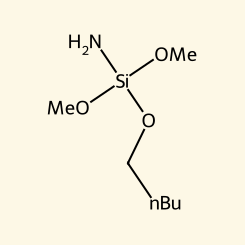 CCCCCO[Si](N)(OC)OC